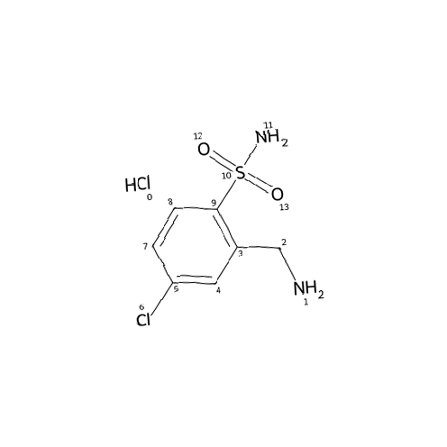 Cl.NCc1cc(Cl)ccc1S(N)(=O)=O